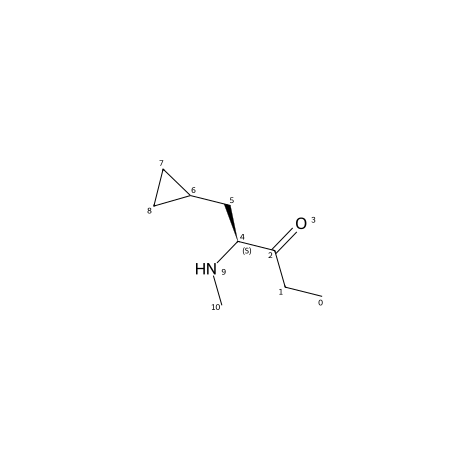 CCC(=O)[C@H](CC1CC1)NC